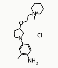 Cc1cc(N2CCC(OCC[N+]3(C)CCCCC3)C2)ccc1N.[Cl-]